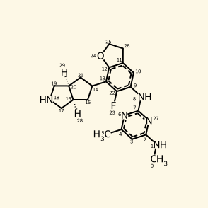 CNc1cc(C)nc(Nc2cc3c(c(C4C[C@H]5CNC[C@H]5C4)c2F)OCC3)n1